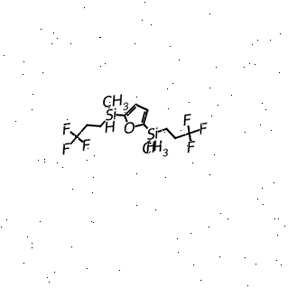 C[SiH](CCC(F)(F)F)c1ccc([SiH](C)CCC(F)(F)F)o1